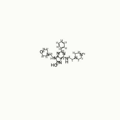 CN1CCN(CCNc2nc(-c3ccccc3)nc3c2nc(O)n3CCN2CCOCC2)CC1